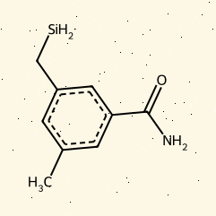 Cc1cc(C[SiH2])cc(C(N)=O)c1